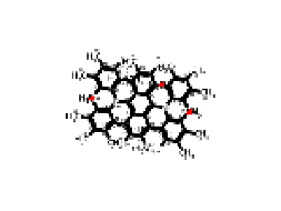 Cc1c(C)c(C)c(N(c2c(C)c(C)c(C)c(C)c2C)c2c3c(C)c(C)c(C)c(C)c3c(N(c3c(C)c(C)c(C)c(C)c3C)c3c(C)c(C)c(C)c(C)c3C)c3c(C)c(C)c(C)c(C)c23)c(C)c1C